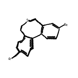 Brc1ccc2c(c1)CSCc1cc(Br)ccc1-2